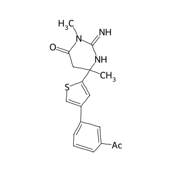 CC(=O)c1cccc(-c2csc(C3(C)CC(=O)N(C)C(=N)N3)c2)c1